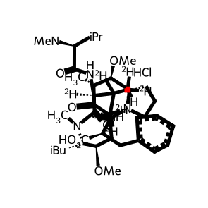 Cl.[2H]C([2H])([2H])C([2H])(C([2H])([2H])[2H])[C@]([2H])(NC(=O)[C@@H](NC)C(C)C)C(=O)N(C)[C@@H]([C@@H](C)CC)[C@@H](CC(=O)N1CCC[C@H]1[C@H](OC)[C@@H](C)C(=O)N[C@@H](Cc1ccccc1)C(=O)O)OC